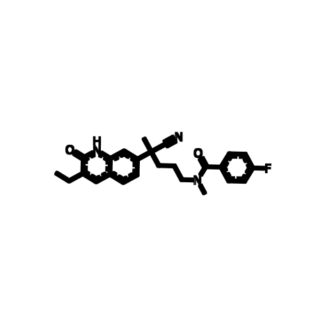 CCc1cc2ccc(C(C)(C#N)CCCN(C)C(=O)c3ccc(F)cc3)cc2[nH]c1=O